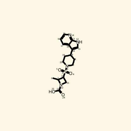 CC1C(S(=O)(=O)N2CCC(c3c[nH]c4ncccc34)CC2)CN1C(=O)O